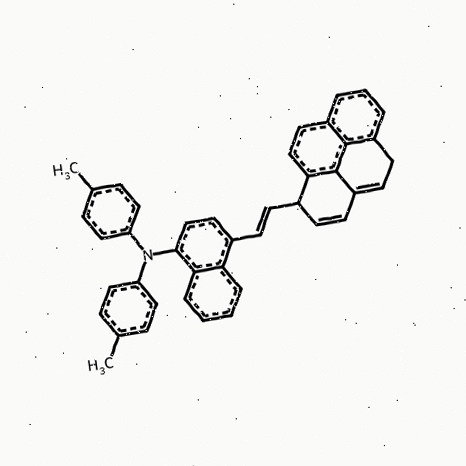 Cc1ccc(N(c2ccc(C)cc2)c2ccc(C=CC3C=CC4=CCc5cccc6ccc3c4c56)c3ccccc23)cc1